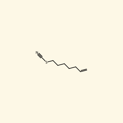 C=CCCCCCSC#N